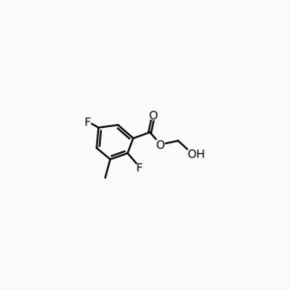 Cc1cc(F)cc(C(=O)OCO)c1F